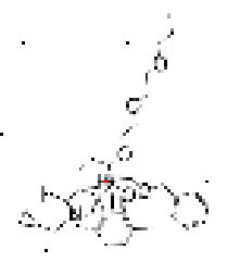 CCCOCCOCCO[C@]12CC[C@@]3(C[C@@H]1COCc1ccccc1)[C@H]1Cc4ccc(C)c5c4[C@@]3(CCN1CC1CC1)[C@H]2O5